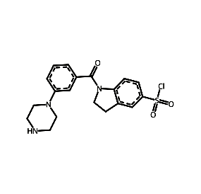 O=C(c1cccc(N2CCNCC2)c1)N1CCc2cc(S(=O)(=O)Cl)ccc21